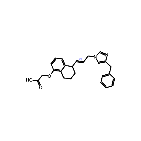 O=C(O)COc1cccc2c1CCCC2/C=C/Cn1cnc(Cc2ccccc2)c1